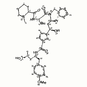 CCC(C)C(NC(=O)C1CCCCN1C)C(=O)N(Cc1ccccc1)[C@H](C[C@@H](O)c1nc(C(=O)N[C@@H](Cc2ccc(OC)cc2)C[C@H](C)C(=O)O)cs1)C(C)C